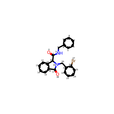 O=C(NCc1ccccc1)C1c2ccccc2C(=O)N1Cc1ccccc1Br